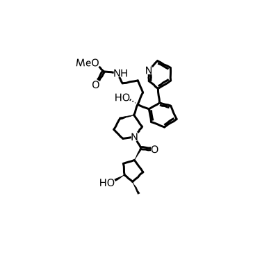 COC(=O)NCCC[C@@](O)(c1ccccc1-c1cccnc1)[C@@H]1CCCN(C(=O)[C@H]2C[C@@H](C)[C@@H](O)C2)C1